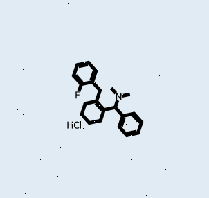 CN(C)C(C1=C(Cc2ccccc2F)CCCC1)c1ccccc1.Cl